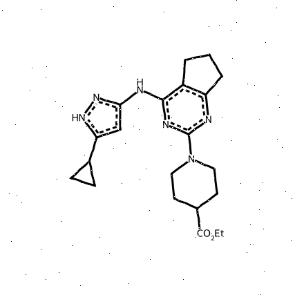 CCOC(=O)C1CCN(c2nc3c(c(Nc4cc(C5CC5)[nH]n4)n2)CCC3)CC1